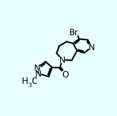 Cn1cc(C(=O)N2CCCc3c(Br)cncc3C2)cn1